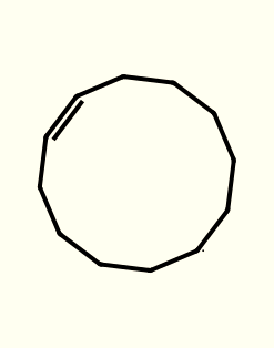 [CH]1CCCC/C=C\CCCCC1